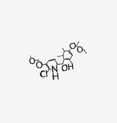 CCOC(C)OC1=CC(C)=C(C(O)C2C=CC(OCOC)=C(Cl)N2)C(C)C1C